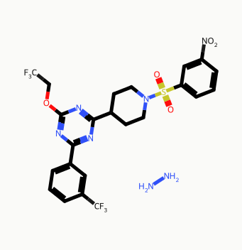 NN.O=[N+]([O-])c1cccc(S(=O)(=O)N2CCC(c3nc(OCC(F)(F)F)nc(-c4cccc(C(F)(F)F)c4)n3)CC2)c1